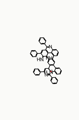 N=C1C(=N)c2c(c(-c3ccccc3)nc3cccc(-c4ccc(-c5cc(-c6ccccc6)nc(-c6ccccc6)n5)c(-c5ccccc5N)c4)c23)C=C1c1ccccc1